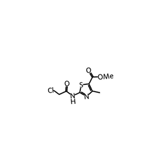 COC(=O)c1sc(NC(=O)CCl)nc1C